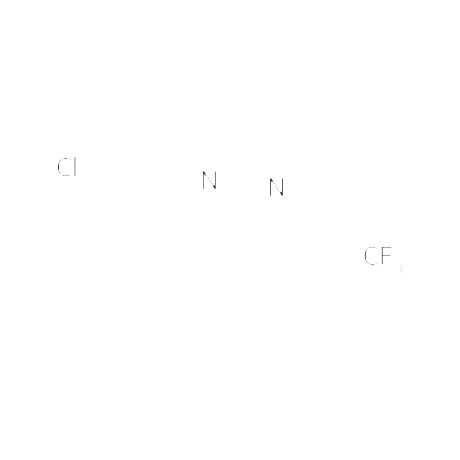 FC(F)(F)c1ccc(CCl)nn1